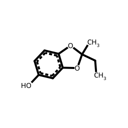 CCC1(C)Oc2ccc(O)cc2O1